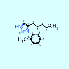 CCCCCc1c[nH]nn1.Cc1ccccc1